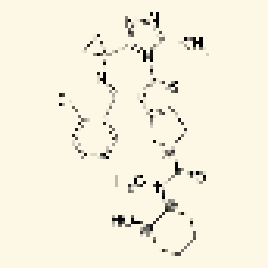 Cc1nnc2n1-c1sc3c(c1C(c1ccccc1Cl)=NC21CC1)C[C@H](C(=O)N(C)[C@H]1CCCC[C@H]1O)C3